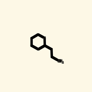 CCCC1CCCCS1